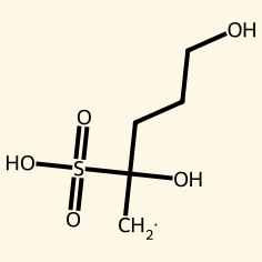 [CH2]C(O)(CCCO)S(=O)(=O)O